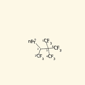 CCCC(C(F)(F)F)C(C(F)(F)F)(C(F)(F)F)C(F)(F)F